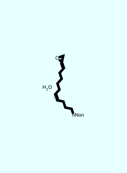 CCCCCCCCCCCC/C=C\CCCCC=C1CO1.O